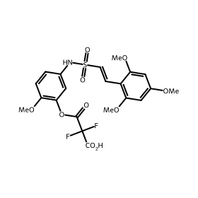 COc1cc(OC)c(C=CS(=O)(=O)Nc2ccc(OC)c(OC(=O)C(F)(F)C(=O)O)c2)c(OC)c1